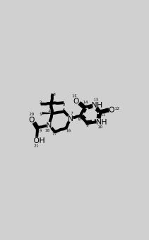 CC(C)(C)[C@]1(C)CN(c2c[nH]c(=O)[nH]c2=O)CCN1C(=O)O